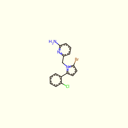 Nc1cccc(Cn2c(Br)ccc2-c2ccccc2Cl)n1